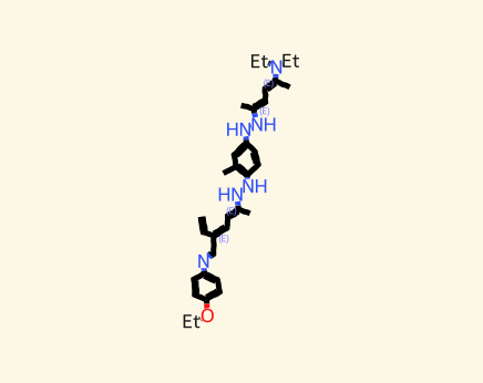 C=C/C(C=Nc1ccc(OCC)cc1)=C\C=C(/C)NNc1ccc(NN/C(C)=C/C=C(\C)N(CC)CC)cc1C